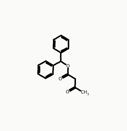 CC(=O)CC(=O)OC(c1ccccc1)c1ccccc1